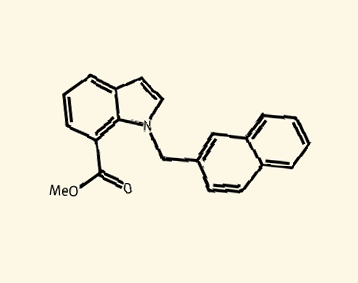 COC(=O)c1cccc2ccn(Cc3ccc4ccccc4c3)c12